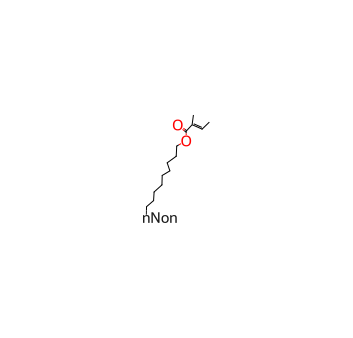 CC=C(C)C(=O)OCCCCCCCCCCCCCCCCCC